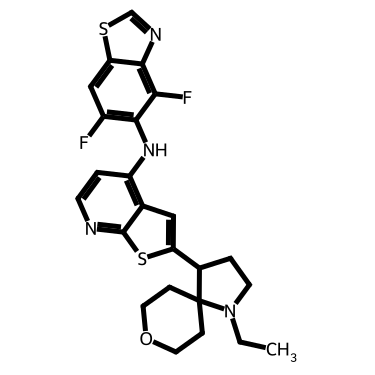 CCN1CCC(c2cc3c(Nc4c(F)cc5scnc5c4F)ccnc3s2)C12CCOCC2